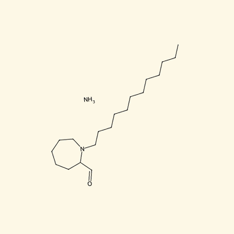 CCCCCCCCCCCCN1CCCCCC1C=O.N